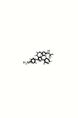 CC(=O)Nc1nc2c(s1)-c1c(c(-c3ccc(N)nc3)nn1-c1cccnc1C)CCC2